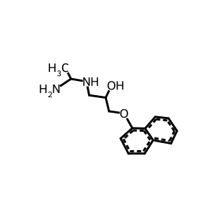 CC(N)NCC(O)COc1cccc2ccccc12